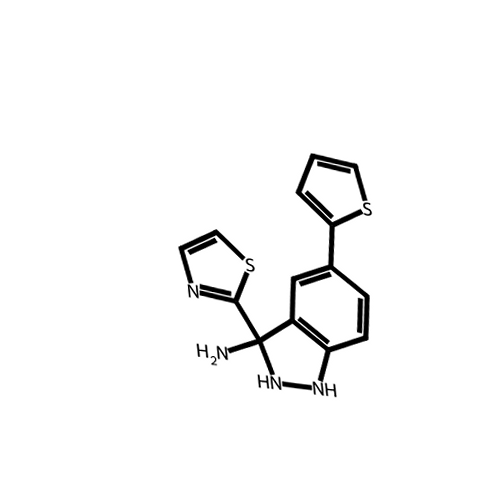 NC1(c2nccs2)NNc2ccc(-c3cccs3)cc21